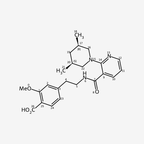 COc1cc(CCNC(=O)c2cccnc2N2C[C@H](C)C[C@H](C)C2)ccc1C(=O)O